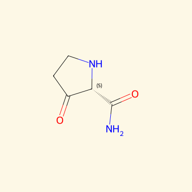 NC(=O)[C@H]1NCCC1=O